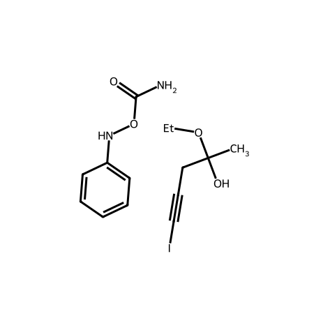 CCOC(C)(O)CC#CI.NC(=O)ONc1ccccc1